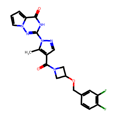 Cc1c(C(=O)N2CC(OCc3ccc(F)c(F)c3)C2)cnn1-c1nn2cccc2c(=O)[nH]1